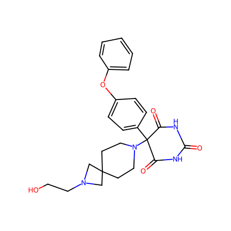 O=C1NC(=O)C(c2ccc(Oc3ccccc3)cc2)(N2CCC3(CC2)CN(CCO)C3)C(=O)N1